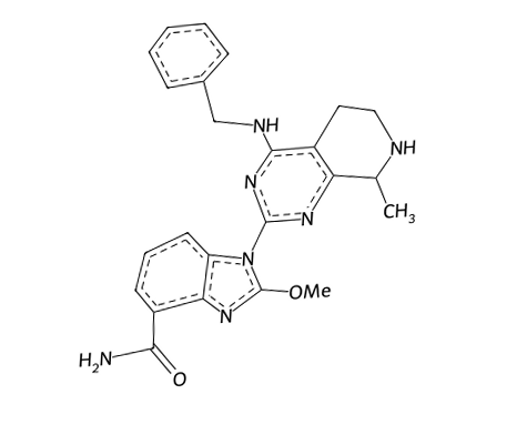 COc1nc2c(C(N)=O)cccc2n1-c1nc(NCc2ccccc2)c2c(n1)C(C)NCC2